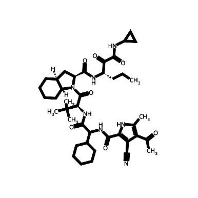 CCC[C@H](NC(=O)[C@@H]1C[C@@H]2CCCC[C@@H]2N1C(=O)[C@@H](NC(=O)C(NC(=O)c1[nH]c(C)c(C(C)=O)c1C#N)C1CCCCC1)C(C)(C)C)C(=O)C(=O)NC1CC1